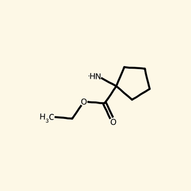 CCOC(=O)C1([NH])CCCC1